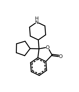 O=C1OC(C2CCCC2)(C2CCNCC2)c2ccccc21